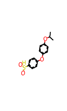 CC(C)Oc1ccc(Oc2ccc([SH](=O)=O)cc2)cc1